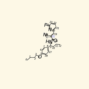 CCCCOc1ccc(C(CCC)NC(=O)/C(C#N)=C/c2cccc(F)n2)cc1